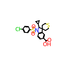 O=C(O)c1ccc2c(c1)C1(CCSCC1)C(C1CC1)N2S(=O)(=O)c1ccc(Cl)cc1